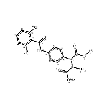 COC(=O)[C@H](C)N(C(=O)OC(C)(C)C)c1ccc(NC(=O)c2c(Cl)cccc2Cl)cc1